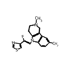 Cc1ccc2c(c1)c1c(n2C=C(F)c2cscn2)CCN(C)C1